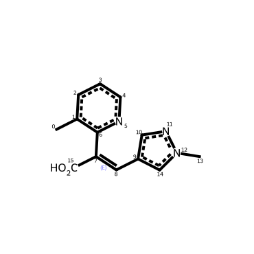 Cc1cccnc1/C(=C\c1cnn(C)c1)C(=O)O